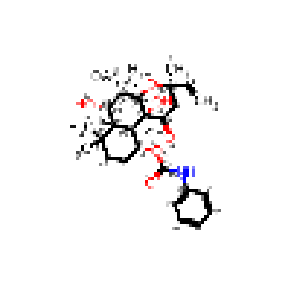 C=C[C@@]1(C)CC(=O)[C@]2(O)[C@@]3(C)[C@@H](OC(=O)Nc4ccccc4)CCC(C)(C)[C@@H]3[C@H](O)[C@H](OC(C)=O)[C@@]2(C)O1